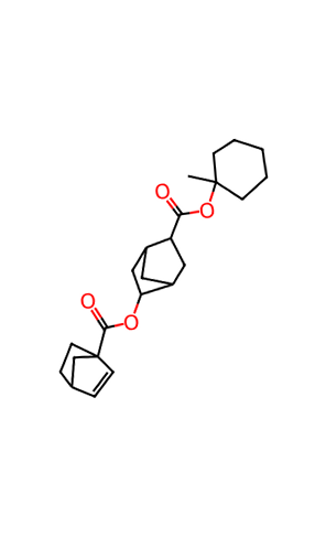 CC1(OC(=O)C2CC3CC2CC3OC(=O)C23C=CC(CC2)C3)CCCCC1